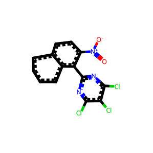 O=[N+]([O-])c1ccc2ccccc2c1-c1nc(Cl)c(Cl)c(Cl)n1